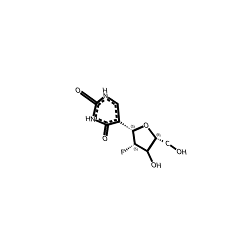 O=c1[nH]cc([C@@H]2O[C@H](CO)C(O)[C@@H]2F)c(=O)[nH]1